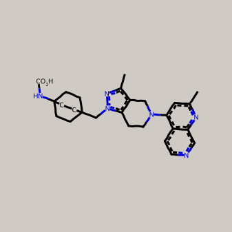 Cc1cc(N2CCc3c(c(C)nn3CC34CCC(NC(=O)O)(CC3)CC4)C2)c2ccncc2n1